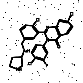 O=c1c2ccc(Cl)cc2nc(-c2cc(C[AsH]C3CCNC3)ccc2Cl)n1-c1ccc(Cl)c(F)c1